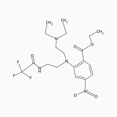 CCOC(=O)c1ccc([N+](=O)[O-])cc1N(CCNC(=O)C(F)(F)F)CCN(CC)CC